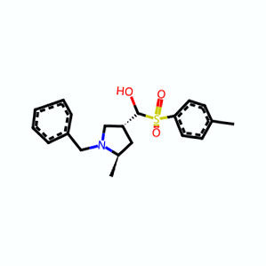 Cc1ccc(S(=O)(=O)C(O)[C@@H]2C[C@@H](C)N(Cc3ccccc3)C2)cc1